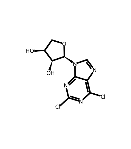 O[C@@H]1[C@H](n2cnc3c(Cl)nc(Cl)nc32)OC[C@@H]1O